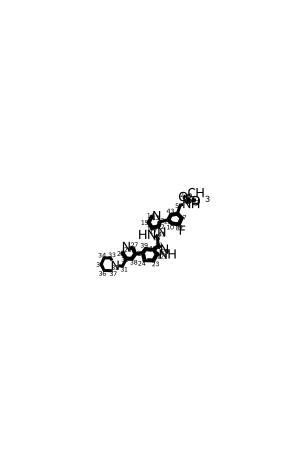 CS(=O)(=O)NCc1cc(F)cc(-c2nccc3[nH]c(-c4n[nH]c5ccc(-c6cncc(CN7CCCCC7)c6)cc45)nc23)c1